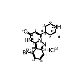 C[C@@H]1C[C@@H](c2cc(=O)[nH]c3c4c(Br)cccc4nn23)CCN1.Cl